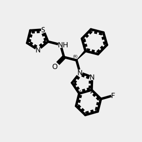 O=C(Nc1nccs1)[C@@H](c1ccccc1)n1cc2cccc(F)c2n1